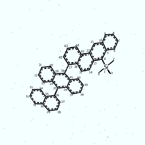 C[Si](C)(C)c1c2ccccc2cc2c1ccc1c(-c3c4ccccc4c(-c4cccc5ccccc45)c4ccccc34)cccc12